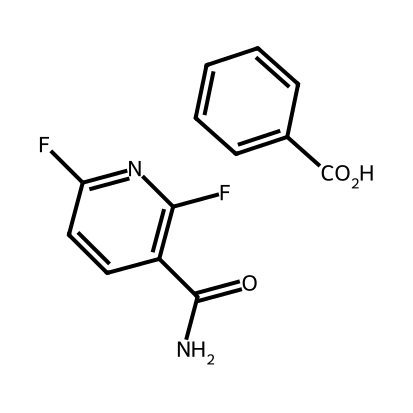 NC(=O)c1ccc(F)nc1F.O=C(O)c1ccccc1